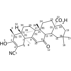 C[C@@H]1C(O)=C(C#N)C[C@]2(C)C3=CC(=O)C4C5CC(C)(C)CC[C@]5(C(=O)O)CC[C@@]4(C)[C@]3(C)CC[C@@H]12